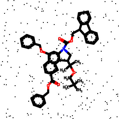 CC(C)(C)[SiH2]OC(C)(C)C1CN(C(=O)OCC2c3ccccc3-c3ccccc32)c2cc(OCc3ccccc3)c3ccc(C(=O)OCc4ccccc4)cc3c21